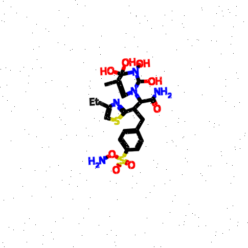 CCc1csc(C(Cc2ccc(S(=O)(=O)ON)cc2)C(C(N)=O)N2C=C(C)C(O)(O)N(O)C2O)n1